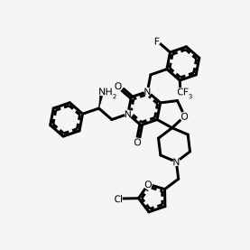 N[C@@H](Cn1c(=O)c2c(n(Cc3c(F)cccc3C(F)(F)F)c1=O)COC21CCN(Cc2ccc(Cl)o2)CC1)c1ccccc1